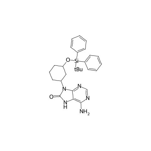 CC(C)(C)[Si](OC1CCCC(n2c(=O)[nH]c3c(N)ncnc32)C1)(c1ccccc1)c1ccccc1